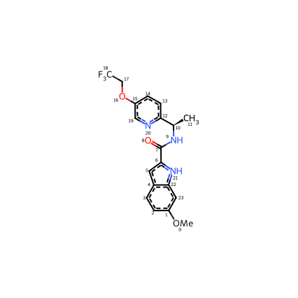 COc1ccc2cc(C(=O)N[C@H](C)c3ccc(OCC(F)(F)F)cn3)[nH]c2c1